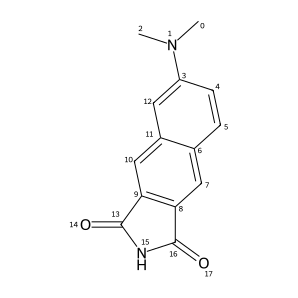 CN(C)c1ccc2cc3c(cc2c1)C(=O)NC3=O